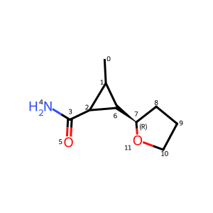 CC1C(C(N)=O)C1[C@H]1CCCO1